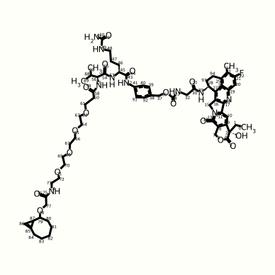 CC[C@@]1(O)C(=O)OCc2c1cc1n(c2=O)Cc2c-1nc1cc(F)c(C)c3c1c2[C@@H](NC(=O)CNC(=O)OCc1ccc(NC(=O)[C@H](CCCNC(N)=O)NC(=O)[C@@H](NC(=O)CCOCCOCCOCCOCCNC(=O)COC2CCCCCC4=CC42)C(C)C)cc1)CC3